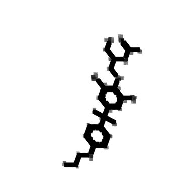 [CH2][CH]COc1ccc(C(C)(C)c2cc(Br)c(OCC(CCl)OC(C)=O)c(Br)c2)cc1